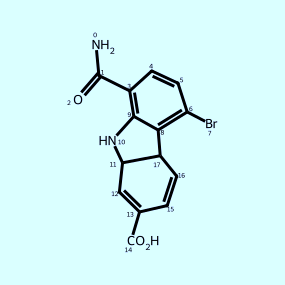 NC(=O)c1ccc(Br)c2c1NC1C=C(C(=O)O)C=CC21